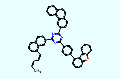 C/C=C\C=C/c1cccc2ccc(-c3nc(-c4ccc(-c5cccc6oc7ccccc7c56)cc4)nc(-c4ccc5ccc6ccccc6c5c4)n3)cc12